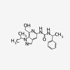 CC(NC(=O)Nc1cc2cnn(C(C)C)c2c(CO)n1)c1ccccc1